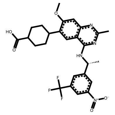 COc1cc2nc(C)nc(N[C@H](C)c3cc([N+](=O)[O-])cc(C(F)(F)F)c3)c2cc1C1CCC(C(=O)O)CC1